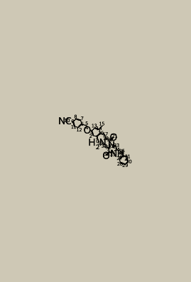 Cc1cc(OCc2ccc(C#N)cc2)cc(C)c1C[C@H](N)C(=O)N(CCCc1ccccc1)[C@H](C)C(N)=O